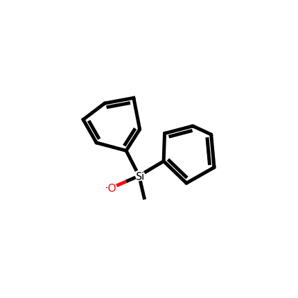 C[Si]([O])(c1ccccc1)c1ccccc1